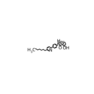 CCCCCCCc1ccc(-c2ccc(NC(=O)[C@H]3NCC[C@@H]3O)cc2)nc1